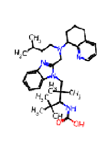 CC(C)CCN(Cc1nc2ccccc2n1CC(C)(C)C(NC(=O)O)C(C)(C)C)C1CCCc2cccnc21